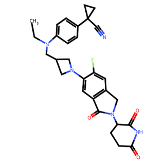 CCN(CC1CN(c2cc3c(cc2F)CN(C2CCC(=O)NC2=O)C3=O)C1)c1ccc(C2(C#N)CC2)cc1